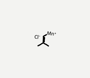 CC(C)=[CH][Mn+].[Cl-]